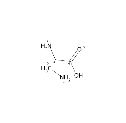 CN.NCC(=O)O